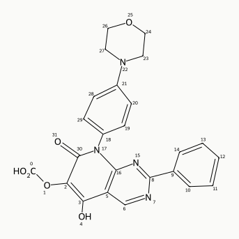 O=C(O)Oc1c(O)c2cnc(-c3ccccc3)nc2n(-c2ccc(N3CCOCC3)cc2)c1=O